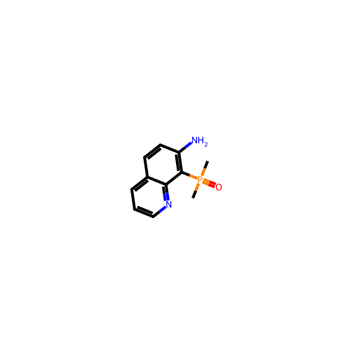 CP(C)(=O)c1c(N)ccc2cccnc12